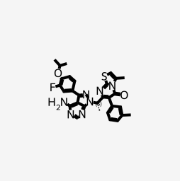 Cc1cccc(-c2c([C@H](C)n3nc(-c4ccc(OC(C)C)c(F)c4)c4c(N)ncnc43)nc3scc(C)n3c2=O)c1